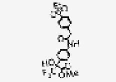 CCS(=O)(=O)c1ccc(CC(=O)Nc2ccc(C(O)(C(=O)OC)C(F)(F)F)cc2)cc1